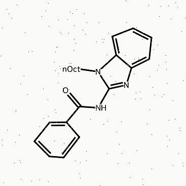 CCCCCCCCn1c(NC(=O)c2ccccc2)nc2ccccc21